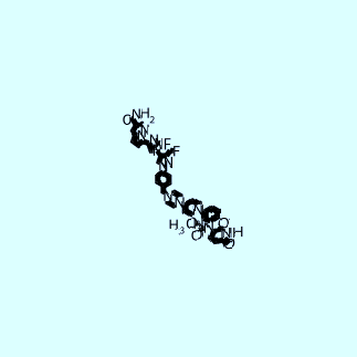 Cn1c(=O)n(C2CCC(=O)NC2=O)c2cccc(N3CCC(N4CCN(CC5CCC(n6cc(-n7cc(-c8ccc9cc(C(N)=O)cnn89)nn7)c(C(F)F)n6)CC5)CC4)CC3)c21